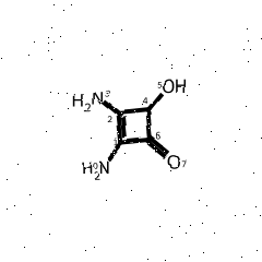 NC1=C(N)C(O)C1=O